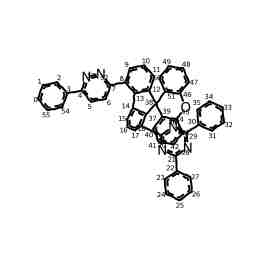 c1ccc(-c2ccc(-c3cccc4c3-c3cccc(-c5nc(-c6ccccc6)nc(-c6ccccc6)n5)c3C43c4ccccc4Oc4ccccc43)nn2)cc1